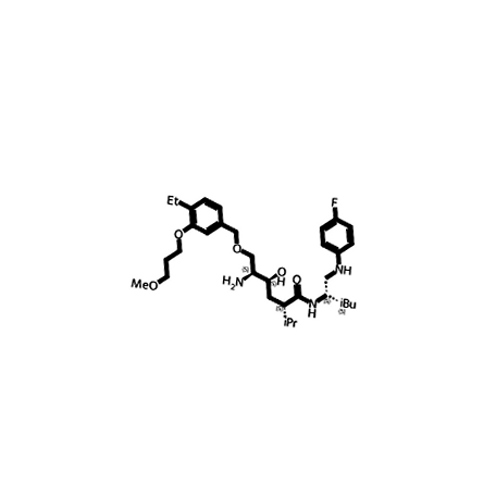 CCc1ccc(COC[C@H](N)[C@@H](O)C[C@H](C(=O)N[C@H](CNc2ccc(F)cc2)[C@@H](C)CC)C(C)C)cc1OCCCOC